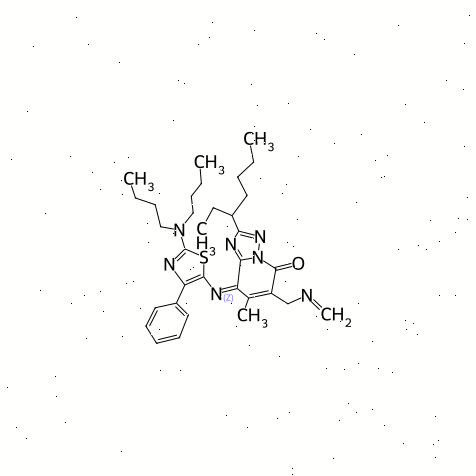 C=NCC1=C(C)/C(=N/c2sc(N(CCCC)CCCC)nc2-c2ccccc2)c2nc(C(CC)CCCC)nn2C1=O